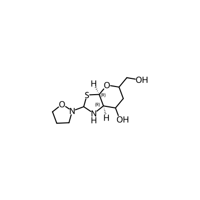 OCC1CC(O)[C@H]2NC(N3CCCO3)S[C@H]2O1